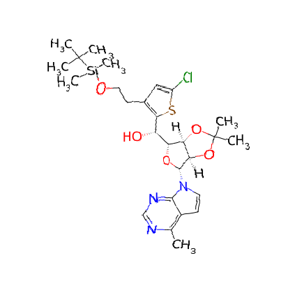 Cc1ncnc2c1ccn2[C@@H]1O[C@H]([C@H](O)c2sc(Cl)cc2CCO[Si](C)(C)C(C)(C)C)[C@H]2OC(C)(C)O[C@H]21